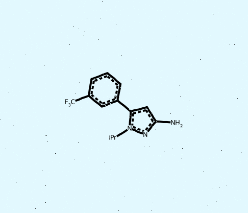 CC(C)n1nc(N)cc1-c1cccc(C(F)(F)F)c1